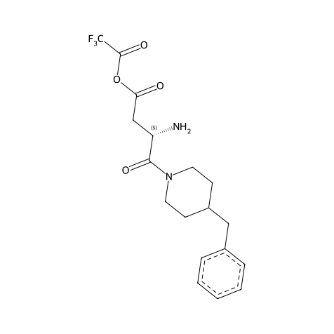 N[C@@H](CC(=O)OC(=O)C(F)(F)F)C(=O)N1CCC(Cc2ccccc2)CC1